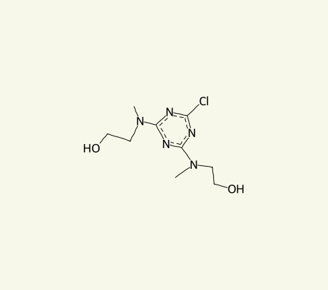 CN(CCO)c1nc(Cl)nc(N(C)CCO)n1